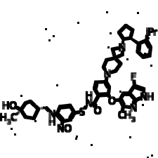 Cc1nc2[nH]cc(F)c2cc1Oc1cc(N2CCC3(CC2)CN([C@H]2CCC[C@H]2c2ccccc2C(C)C)C3)ccc1C(=O)NSc1ccc(NC[C@H]2CC[C@](C)(O)CC2)c(N=O)c1